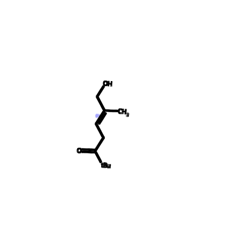 C/C(=C\CC(=O)C(C)(C)C)CO